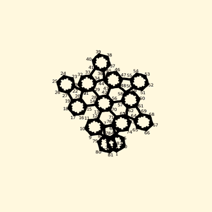 c1ccc2c(c1)Cc1c-2cccc1-c1c(-c2cccc3c2Cc2ccccc2-3)c(-c2cccc3c2Cc2ccccc2-3)c(-c2cccc3c2Cc2ccccc2-3)c(-c2cccc3c2Cc2ccccc2-3)c1-c1cccc2c1Cc1ccccc1-2